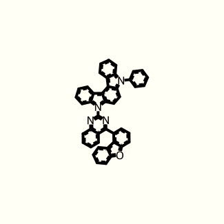 c1ccc(-n2c3ccccc3c3c4c5ccccc5n(-c5nc(-c6cccc7oc8ccccc8c67)c6ccccc6n5)c4ccc32)cc1